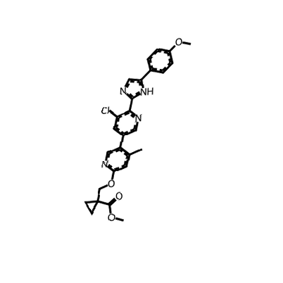 COC(=O)C1(COc2cc(C)c(-c3cnc(-c4ncc(-c5ccc(OC)cc5)[nH]4)c(Cl)c3)cn2)CC1